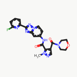 Cn1ncc(C(=O)N2CCOCC2)c1C(=O)Nc1ccn2nc(-c3cccc(F)n3)nc2c1